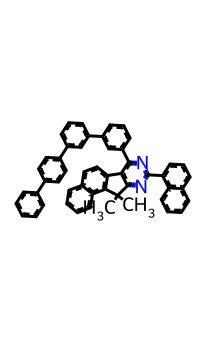 CC1(C)c2nc(-c3cccc4ccccc34)nc(-c3cccc(-c4cccc(-c5ccc(-c6ccccc6)cc5)c4)c3)c2-c2ccc3ccccc3c21